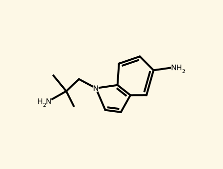 CC(C)(N)Cn1ccc2cc(N)ccc21